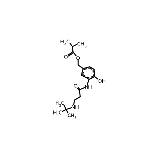 CC(C)C(=O)OCc1ccc(O)c(NC(=O)CCNC(C)(C)C)c1